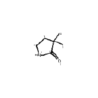 CC1(C)C[CH]NC1=O